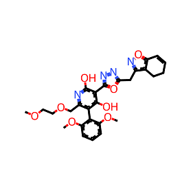 COCCOCc1nc(O)c(-c2nnc(Cc3noc4c3CCC=C4)o2)c(O)c1-c1c(OC)cccc1OC